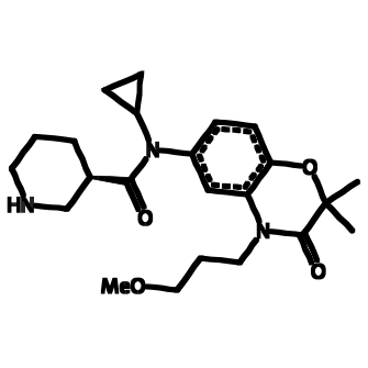 COCCCN1C(=O)C(C)(C)Oc2ccc(N(C(=O)[C@@H]3CCCNC3)C3CC3)cc21